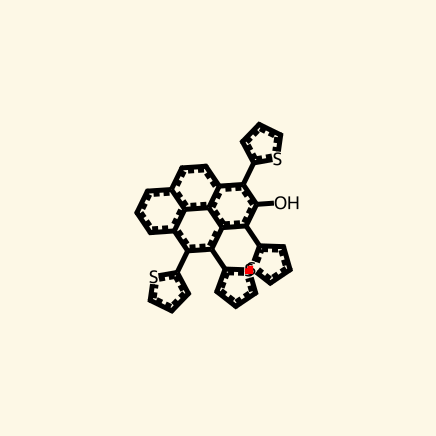 Oc1c(-c2cccs2)c2ccc3cccc4c(-c5cccs5)c(-c5cccs5)c(c1-c1cccs1)c2c34